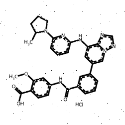 COc1cc(NC(=O)c2cccc(-c3cc(Nc4cccc(N5CCCC5C)n4)c4ncnn4c3)c2)ccc1C(=O)O.Cl